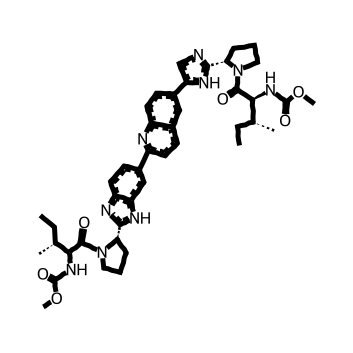 CC[C@@H](C)C(NC(=O)OC)C(=O)N1CCC[C@H]1c1nc2ccc(-c3ccc4cc(-c5cnc([C@@H]6CCCN6C(=O)[C@@H](NC(=O)OC)[C@H](C)CC)[nH]5)ccc4n3)cc2[nH]1